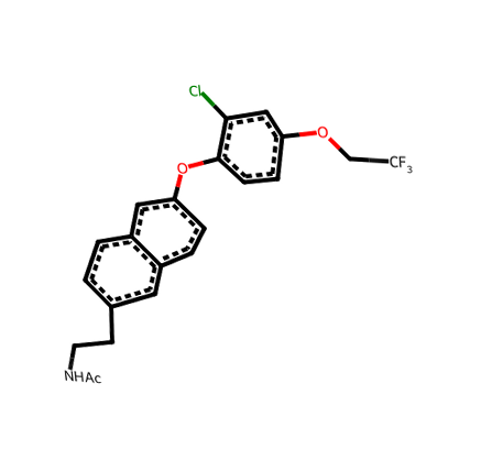 CC(=O)NCCc1ccc2cc(Oc3ccc(OCC(F)(F)F)cc3Cl)ccc2c1